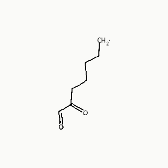 [CH2]CCCCC(=O)C=O